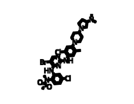 Cc1cc(Nc2ncc(Br)c(Nc3cc(Cl)ccc3N(C)S(C)(=O)=O)n2)c(Cl)cc1N1CCC(N2CCC(N(C)C)C2)CC1